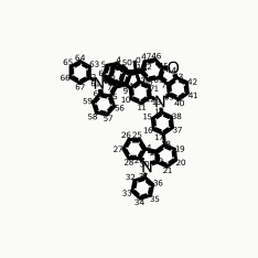 CC1(C)c2ccccc2-c2ccc(N(c3ccc(-c4cccc5c4c4ccccc4n5-c4ccccc4)cc3)c3cccc4oc5ccc(-c6ccc7c(c6)c6ccccc6n7-c6ccccc6)cc5c34)cc21